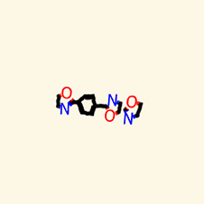 C1=NCCO1.c1cc(C2=NCCO2)ccc1C1=NCCO1